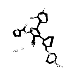 CN1CCN(Cc2cccc(-c3cc(-c4ccc(F)cc4O)nc(NC(=O)c4ccco4)c3C#N)c2)CC1.Cl.Cl